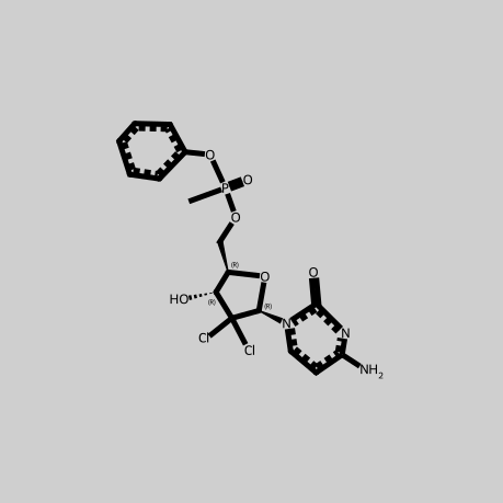 CP(=O)(OC[C@H]1O[C@@H](n2ccc(N)nc2=O)C(Cl)(Cl)[C@@H]1O)Oc1ccccc1